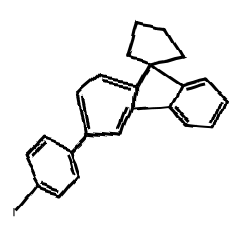 Ic1ccc(-c2ccc3c(c2)-c2ccccc2C32CCCC2)cc1